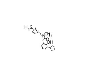 CN(CCn1cc[n+](C)c1)C(=O)Cc1cccc(C2CCCC2)c1O.[I-]